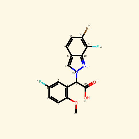 COc1ccc(F)cc1C(C(=O)O)n1cc2ccc(Br)c(F)c2n1